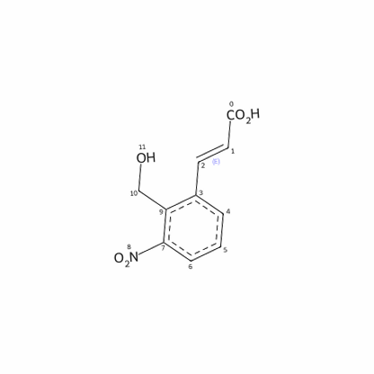 O=C(O)/C=C/c1cccc([N+](=O)[O-])c1CO